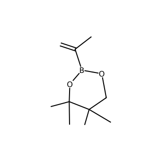 C=C(C)B1OCC(C)(C)C(C)(C)O1